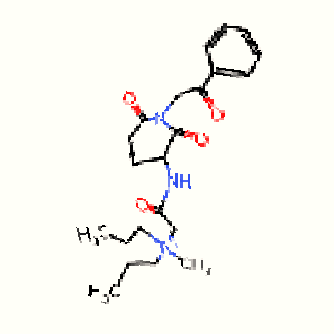 CCC[N+](C)(CCC)CC(=O)NC1CCC(=O)N(CC(=O)c2ccccc2)C1=O